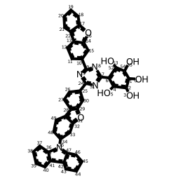 Oc1c(O)c(O)c(-c2nc(-c3ccc4c(c3)oc3ccccc34)nc(-c3ccc4c(c3)oc3cc(-n5c6ccccc6c6ccccc65)ccc34)n2)c(O)c1O